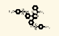 Cc1ccc(S(=O)(=O)Nc2cccc(-c3cnn(C(C)c4ccccc4)c(=O)c3-c3cccc(NS(=O)(=O)c4ccc(C)cc4)c3)c2)cc1